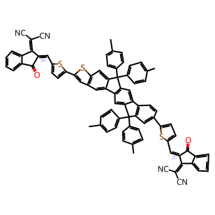 Cc1ccc(C2(c3ccc(C)cc3)c3cc(-c4ccc(/C=C5\C(=O)c6ccccc6C5=C(C#N)C#N)s4)ccc3-c3cc4c(cc32)-c2cc3cc(-c5ccc(/C=C6\C(=O)c7ccccc7C6=C(C#N)C#N)s5)sc3cc2C4(c2ccc(C)cc2)c2ccc(C)cc2)cc1